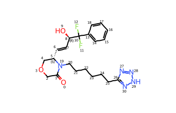 O=C1COC[C@H](C=C[C@@H](O)C(F)(F)c2ccccc2)N1CCCCCCc1nn[nH]n1